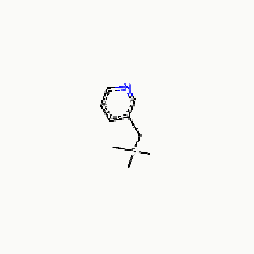 C[Si](C)(C)Cc1cccnc1